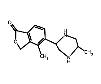 Cc1c(C2CNC(C)CN2)ccc2c1COC2=O